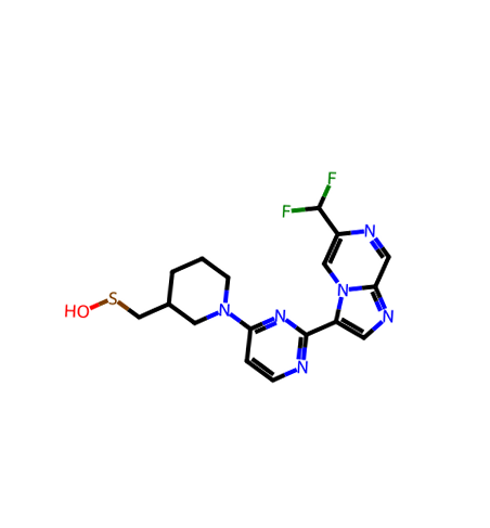 OSCC1CCCN(c2ccnc(-c3cnc4cnc(C(F)F)cn34)n2)C1